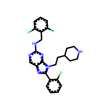 Fc1cccc(F)c1CNc1ncc2nc(-c3ccccc3Cl)n(CCC3CCNCC3)c2n1